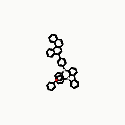 c1ccc(-c2ccc(N(c3ccc(-c4cc5ccc6ccccc6c5c5ccccc45)cc3)c3cccc4c5ccccc5n(-c5ccccc5)c34)cc2)cc1